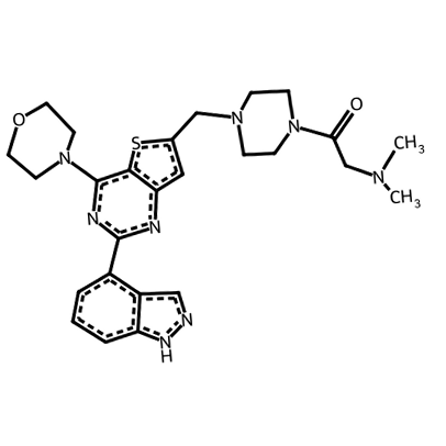 CN(C)CC(=O)N1CCN(Cc2cc3nc(-c4cccc5[nH]ncc45)nc(N4CCOCC4)c3s2)CC1